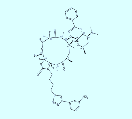 CC[C@H]1OC(=O)[C@@](C)(F)C(=O)[C@H](C)[C@@H](O[C@@H]2O[C@H](C)C[C@H](N(C)C)[C@H]2OC(=O)c2ccccc2)[C@@](C)(OC)C[C@@H](C)C(=O)[C@H](C)[C@@H]2N(CCCCn3cc(-c4cccc([N+](=O)[O-])c4)nn3)C(=O)O[C@@]21C